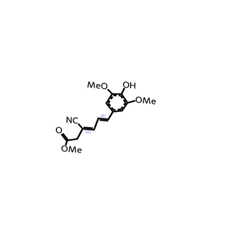 COC(=O)C/C(C#N)=C/C=C/c1cc(OC)c(O)c(OC)c1